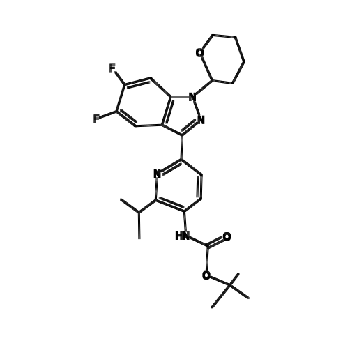 CC(C)c1nc(-c2nn(C3CCCCO3)c3cc(F)c(F)cc23)ccc1NC(=O)OC(C)(C)C